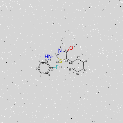 O=C1N=C(Nc2ccccc2F)SC1C1CCCCC1